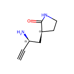 C#C[C@@H](N)C[C@@H]1CCNC1=O